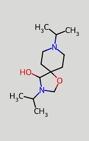 CC(C)N1CCC2(CC1)OCN(C(C)C)C2O